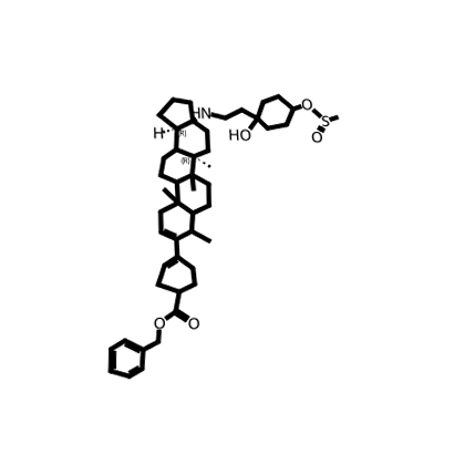 CC1C(C2=CCC(C(=O)OCc3ccccc3)CC2)=CCC2(C)C1CCC1(C)C2CCC2[C@H]3CCCC3(NCCC3(O)CCC(OS(C)=O)CC3)CC[C@]21C